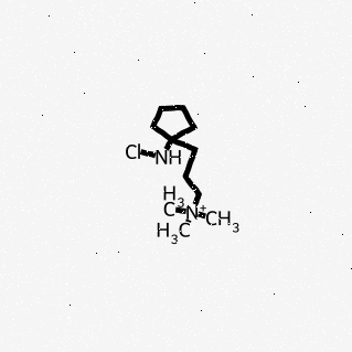 C[N+](C)(C)CCCC1(NCl)CCCC1